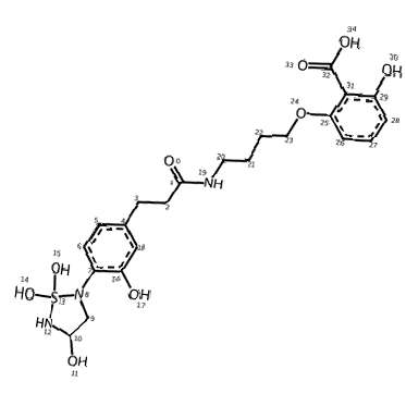 O=C(CCc1ccc(N2CC(O)NS2(O)O)c(O)c1)NCCCCOc1cccc(O)c1C(=O)O